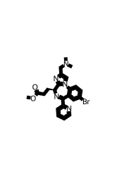 COC(=O)CC[C@@H]1N=C(c2ccccn2)c2cc(Br)ccc2-n2cc(CN(C)C)nc21